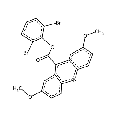 COc1ccc2nc3ccc(OC)cc3c(C(=O)Oc3c(Br)cccc3Br)c2c1